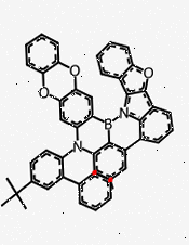 Cc1cc2c3c(c1)N(c1ccc(C(C)(C)C)cc1-c1ccccc1)c1cc4c(cc1B3n1c3c-2cccc3c2oc3ccccc3c21)Oc1ccccc1O4